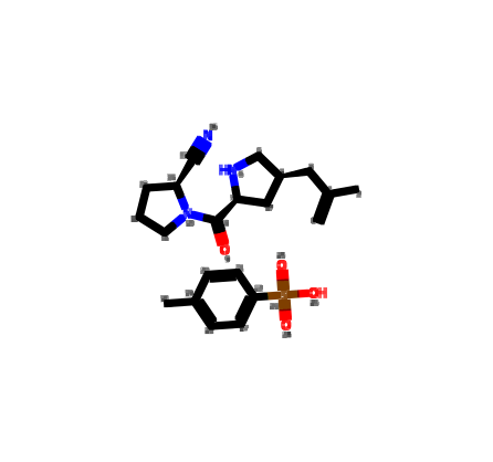 C=C(C)C[C@@H]1CN[C@H](C(=O)N2CCC[C@H]2C#N)C1.Cc1ccc(S(=O)(=O)O)cc1